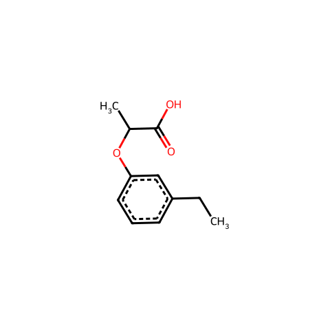 CCc1cccc(OC(C)C(=O)O)c1